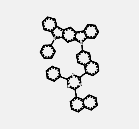 c1ccc(-c2nc(-c3cccc4ccccc34)nc(-c3cccc4cc(-n5c6ccccc6c6cc7c8ccccc8n(-c8ccccc8)c7cc65)ccc34)n2)cc1